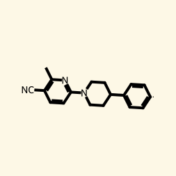 Cc1nc(N2CCC(c3cc[c]cc3)CC2)ccc1C#N